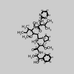 CCC(C)C(C(CC(=O)N1CCC[C@H]1C(OC)C(C)C(=O)NC(C)C(O)c1ccccc1)OC)N(C)C(=O)C(Nc1ncccn1)C(C)C